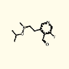 CC(C)ON(C)CCc1cncc(F)c1C=O